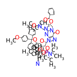 COc1ccc(C(OC[C@H]2O[C@@H](n3cnc4c(=O)n(CCOC(=O)c5ccccc5)c(N=CN(C)C)nc43)[C@H](OP(OCCC#N)N(C(C)C)C(C)C)[C@H]2O[Si](C)(C)C(C)(C)C)(c2ccccc2)c2ccc(OC)cc2)cc1